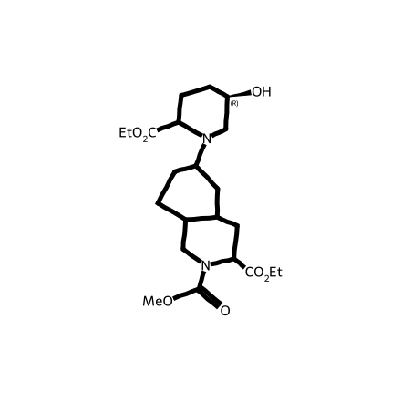 CCOC(=O)C1CC2CC(N3C[C@H](O)CCC3C(=O)OCC)CCC2CN1C(=O)OC